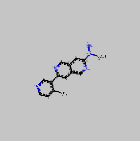 Cc1ccncc1-c1cc2cnc(N(N)C(=O)O)cc2cn1